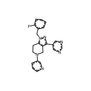 Fc1ccccc1Cn1nc(-c2cncnc2)c2c1CCN(c1cccnc1)C2